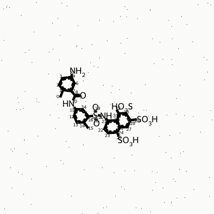 Cc1ccc(N)cc1C(=O)Nc1ccc(C)c(S(=O)(=O)Nc2ccc(S(=O)(=O)O)c3cc(S(=O)(=O)O)cc(S(=O)(=O)O)c23)c1